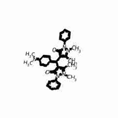 Cc1c(C(=C2C=CC(=[N+](C)C)C=C2)c2c(C)n(C)n(-c3ccccc3)c2=O)c(=O)n(-c2ccccc2)n1C